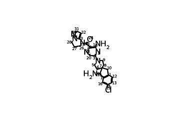 Nc1nc(N2CCC3(CC2)Cc2ccc(Cl)cc2C3N)cnc1C(=O)N1CCCn2nccc21